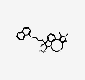 Cc1c2c(nn1C)COCCN1c3c-2cccc3C(Cl)(CCCOc2cccc3ccccc23)C1C(=O)O